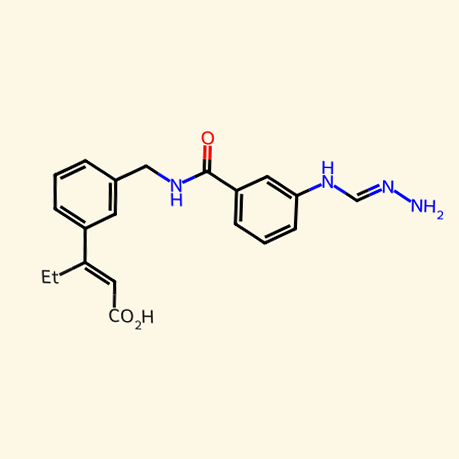 CCC(=CC(=O)O)c1cccc(CNC(=O)c2cccc(NC=NN)c2)c1